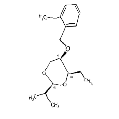 CC[C@H]1O[C@@H](C(C)C)OC[C@H]1OCc1ccccc1C